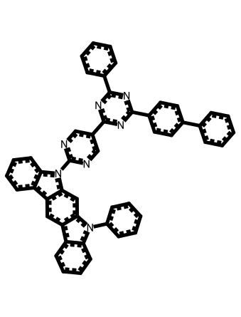 c1ccc(-c2ccc(-c3nc(-c4ccccc4)nc(-c4cnc(-n5c6ccccc6c6cc7c8ccccc8n(-c8ccccc8)c7cc65)nc4)n3)cc2)cc1